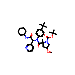 COC1CN(C(=O)OC(C)(C)C)C(C)(C(=O)N(c2ccc(C(C)(C)C)cc2)C(C(=O)NC2CCCCC2)c2cccnc2)C1